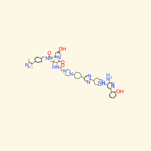 Cc1ncsc1-c1ccc(CNC(=O)C[C@@H]2C[C@@H](O)CN2C(=O)C(NC(=O)CN2CCN(C3CCC(c4cnc(C5CC6CN(c7cc(-c8ccccc8O)nnc7N)CC(C5)N6)nc4)CC3)CC2)C(C)(C)C)cc1